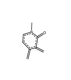 C=c1ccn(C)c(=O)c1=C